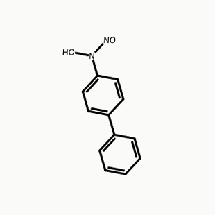 O=NN(O)c1ccc(-c2ccccc2)cc1